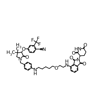 CC1(C)CN(Cc2ccc(NCCCCCOCCNc3cccc4c3C(=O)N(C3CCC(=O)NC3=O)C4=O)cc2)C(=O)C1Oc1ccc(C#N)c(C(F)(F)F)c1